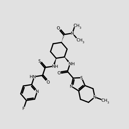 CN1CCc2nc(C(=O)N[C@@H]3C[C@@H](C(=O)N(C)C)CC[C@@H]3NC(=S)C(=O)Nc3ccc(F)cn3)sc2C1